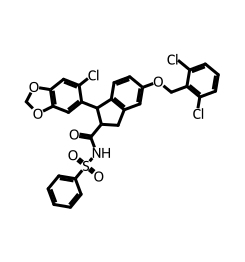 O=C(NS(=O)(=O)c1ccccc1)C1Cc2cc(OCc3c(Cl)cccc3Cl)ccc2C1c1cc2c(cc1Cl)OCO2